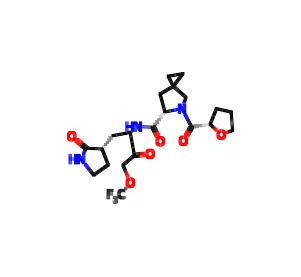 O=C(COC(F)(F)F)C(C[C@@H]1CCNC1=O)NC(=O)[C@@H]1CC2(CC2)CN1C(=O)[C@@H]1CCCO1